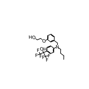 CCCCN(Cc1cccc(OCCO)c1)c1ccc(C(O)(C(F)(F)F)C(F)(F)F)cc1